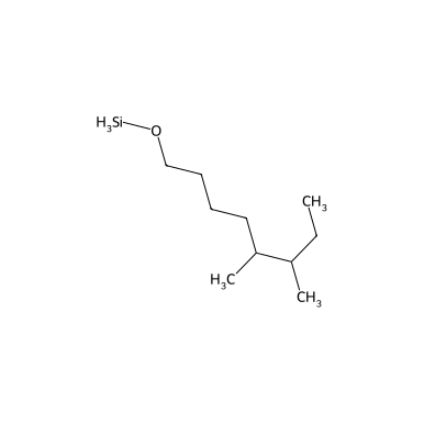 CCC(C)C(C)CCCCO[SiH3]